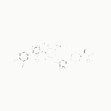 CO[C@@H]1[C@@H](n2cc(-c3cc(F)c(F)c(F)c3)nn2)[C@@H](O)[C@@H](CO)O[C@@H]1Cc1cc(C2CCN(C(=O)C(N)C(C)C)CC2)on1